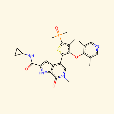 Cc1cncc(C)c1Oc1c(-c2cn(C)c(=O)c3[nH]c(C(=O)NC4CC4)cc23)sc(P(C)(C)=O)c1C